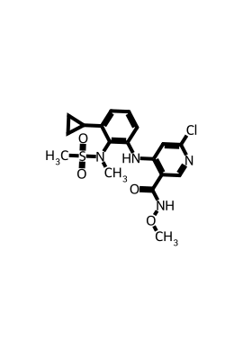 CONC(=O)c1cnc(Cl)cc1Nc1cccc(C2CC2)c1N(C)S(C)(=O)=O